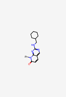 CC(C)n1c(=O)ccc2cnc(NCC3CCCCC3)nc21